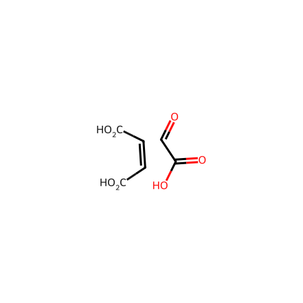 O=C(O)/C=C\C(=O)O.O=CC(=O)O